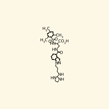 Cc1cc(C)c(S(=O)(=O)NC(CNC(=O)c2cccc3c2cnn3CCCNC2NCCN2)C(=O)O)c(C)c1